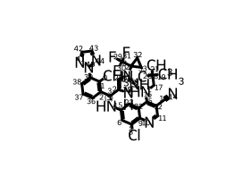 Cc1c([C@H](Nc2cc(Cl)c3ncc(C#N)c(NCC(C)(C)C)c3c2)C2=CN(C3(C(F)(F)F)CC3)NN2)cccc1-n1nccn1